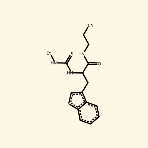 CCNC(=S)NC(Cc1csc2ccccc12)C(=O)NCCC#N